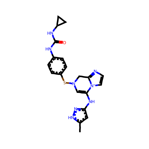 Cc1cc(NC2=CN(Sc3ccc(NC(=O)NC4CC4)cc3)CC3=NC=C[N+]23)n[nH]1